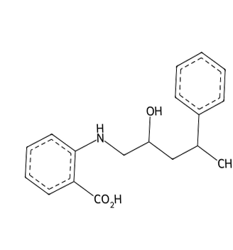 CC(CC(O)CNc1ccccc1C(=O)O)c1ccccc1